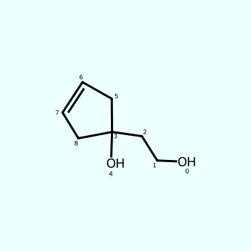 OCCC1(O)CC=CC1